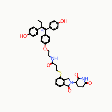 CC/C(=C(\c1ccc(O)cc1)c1ccc(OCCNC(=O)CCSc2cccc3c2CN(C2CCC(=O)NC2=O)C3=O)cc1)c1ccc(O)cc1